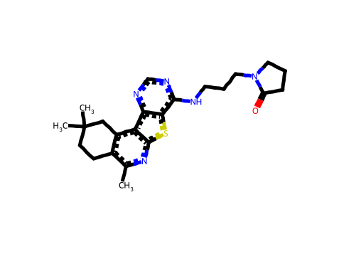 Cc1nc2sc3c(NCCCN4CCCC4=O)ncnc3c2c2c1CCC(C)(C)C2